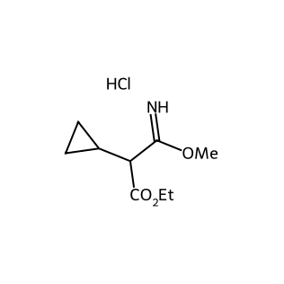 CCOC(=O)C(C(=N)OC)C1CC1.Cl